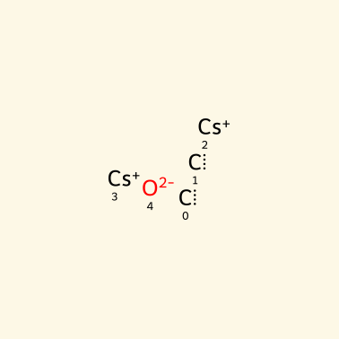 [C].[C].[Cs+].[Cs+].[O-2]